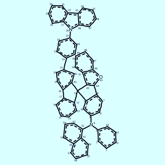 c1ccc(N(c2ccc3c(c2)C2(c4ccccc4-c4ccc(-c5ccc(-n6c7ccccc7c7ccccc76)cc5)cc42)c2c-3oc3ccccc23)c2cccc3ccccc23)cc1